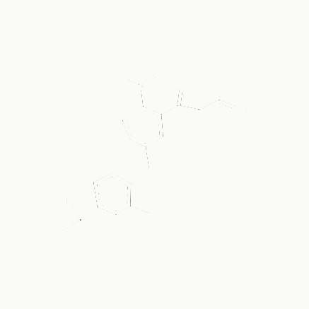 C=CCC(=O)c1cc(Oc2ccc(C(F)(F)F)cc2Cl)ccc1[N+](=O)[O-]